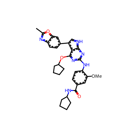 COc1cc(C(=O)NC2CCCC2)ccc1Nc1nc(OC2CCCC2)c2c(-c3ccc4nc(C)oc4c3)c[nH]c2n1